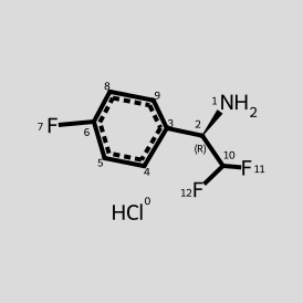 Cl.N[C@H](c1ccc(F)cc1)C(F)F